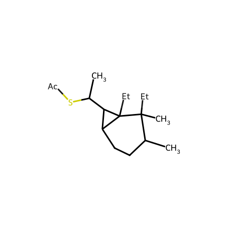 CCC1(C)C(C)CCC2C(C(C)SC(C)=O)C21CC